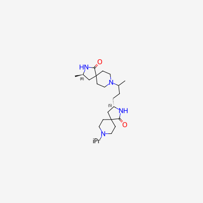 CC(C)N1CCC2(CC1)C[C@H](CCC(C)N1CCC3(CC1)C[C@@H](C)NC3=O)NC2=O